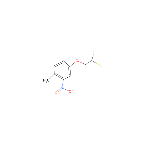 Cc1ccc(OCC(F)F)cc1[N+](=O)[O-]